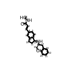 O=C(C=Cc1ccc2c(c1)CCC2N[C@H](CO)Cc1ccccc1)NO